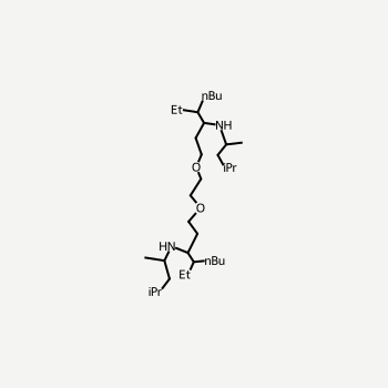 CCCCC(CC)C(CCOCCOCCC(NC(C)CC(C)C)C(CC)CCCC)NC(C)CC(C)C